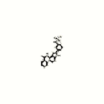 CC(Nc1ncnc2[nH]c(-c3cccc(NS(=O)(=O)C(C)C)c3)cc12)c1ccccc1